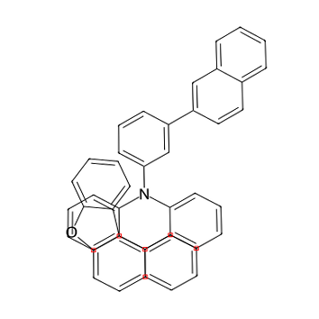 c1ccc(-c2ccccc2N(c2cccc(-c3ccc4ccccc4c3)c2)c2ccccc2-c2cccc3oc4ccccc4c23)cc1